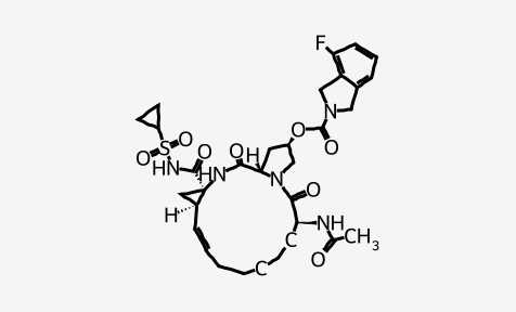 CC(=O)N[C@H]1CCCCC/C=C\[C@H]2C[C@@]2(C(=O)NS(=O)(=O)C2CC2)NC(=O)[C@@H]2C[C@@H](OC(=O)N3Cc4cccc(F)c4C3)CN2C1=O